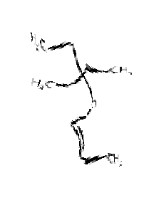 C/C=C\OC(C)(C)CC